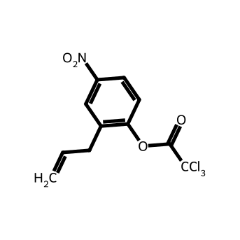 C=CCc1cc([N+](=O)[O-])ccc1OC(=O)C(Cl)(Cl)Cl